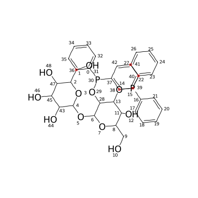 OCC1OC(OC2OC(CO)C(O)C(OP(c3ccccc3)c3ccccc3)C2OP(c2ccccc2)c2ccccc2)C(O)C(O)C1O